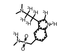 [2H]c1c(C([2H])([2H])C([2H])([2H])N(C)C)c2cc(CS(=O)(=O)N([2H])C)ccc2n1[2H]